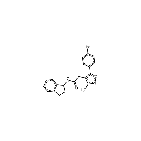 Cc1noc(-c2ccc(Br)cc2)c1CC(=O)NC1CCc2ccccc21